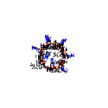 CC(=O)OC1[C@@H]2OC(CN=[N+]=[N-])[C@@H](O[C@H]3OC(CN=[N+]=[N-])[C@@H](O[C@H]4CC(CN=[N+]=[N-])[C@@H](O[C@H]5OC(CN=[N+]=[N-])[C@@H](O[C@@H]6OC(CN=[N+]=[N-])[C@@H](O[C@@H]7OC(CN=[N+]=[N-])[C@@H](O[C@@H]8OC(CN=[N+]=[N-])[C@@H](O2)C(OC(C)=O)[C@@H]8OC(C)=O)C(OC(C)=O)[C@@H]7OC(C)=O)C(OC(C)=O)[C@@H]6OC(C)=O)C(OC(C)=O)[C@@H]5OC(C)=O)C(OC(C)=O)[C@@H]4OC(C)=O)[C@H](OC(C)=O)C3OC(C)=O)[C@@H]1OC(C)=O